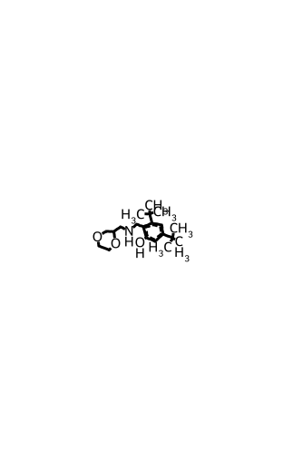 CC(C)(C)c1cc(O)c(CNCC2COCCO2)c(C(C)(C)C)c1